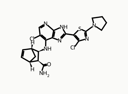 NC(=O)[C@@H]1[C@H](Nc2c(Cl)cnc3[nH]c(-c4sc(N5CCCC5)nc4Cl)nc23)[C@H]2C=C[C@@H]1C2